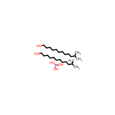 CC(C)CCCCCCCCCCO.CC(C)CCCCCCCCCCO.OP(O)O